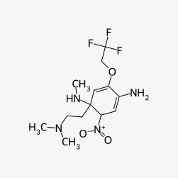 CNC1(CCN(C)C)C=C(OCC(F)(F)F)C(N)=CC1[N+](=O)[O-]